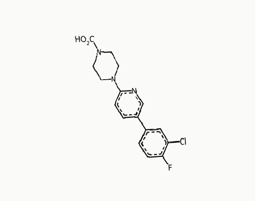 O=C(O)N1CCN(c2ccc(-c3ccc(F)c(Cl)c3)cn2)CC1